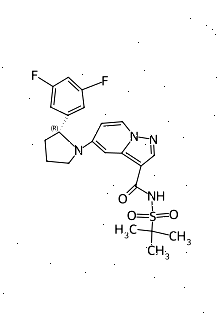 CC(C)(C)S(=O)(=O)NC(=O)c1cnn2ccc(N3CCC[C@@H]3c3cc(F)cc(F)c3)cc12